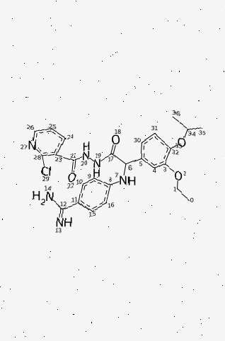 CCOc1cc(C(Nc2ccc(C(=N)N)cc2)C(=O)NNC(=O)c2cccnc2Cl)ccc1OC(C)C